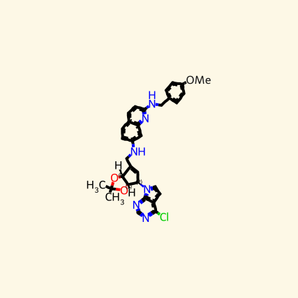 COc1ccc(CNc2ccc3ccc(NCC4=C[C@@H](n5ccc6c(Cl)ncnc65)[C@@H]5OC(C)(C)O[C@H]45)cc3n2)cc1